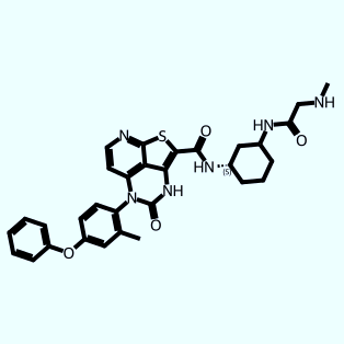 CNCC(=O)NC1CCC[C@H](NC(=O)c2sc3nccc4c3c2NC(=O)N4c2ccc(Oc3ccccc3)cc2C)C1